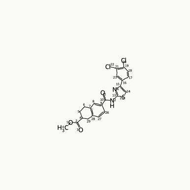 COC(=O)C1CCc2cc(C(=O)Nc3nc(-c4ccc(Cl)c(Cl)c4)cs3)ccc2C1